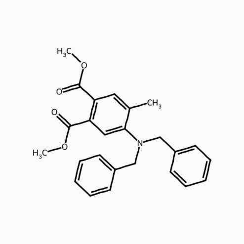 COC(=O)c1cc(C)c(N(Cc2ccccc2)Cc2ccccc2)cc1C(=O)OC